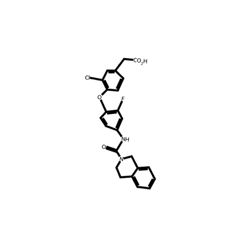 O=C(O)Cc1ccc(Oc2ccc(NC(=O)N3CCc4ccccc4C3)cc2F)c(Cl)c1